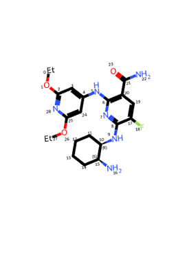 CCOc1cc(Nc2nc(N[C@@H]3CCCC[C@@H]3N)c(F)cc2C(N)=O)cc(OCC)n1